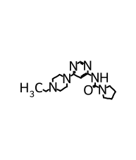 CCN1CCN(c2cc(NC(=O)N3CCCC3)ncn2)CC1